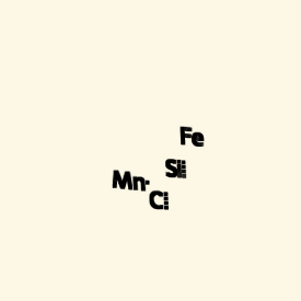 [C].[Fe].[Mn].[Si]